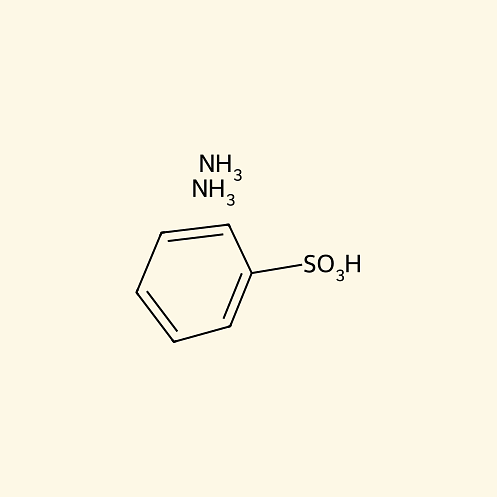 N.N.O=S(=O)(O)c1ccccc1